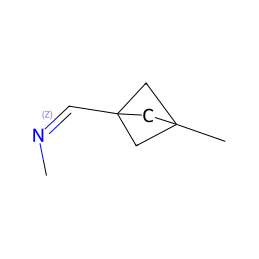 C/N=C\C12CC(C)(C1)C2